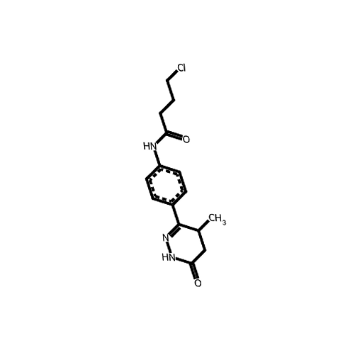 CC1CC(=O)NN=C1c1ccc(NC(=O)CCCCl)cc1